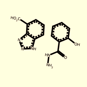 NNC(=O)c1ccccc1O.O=C(O)c1cccc2[nH]nnc12